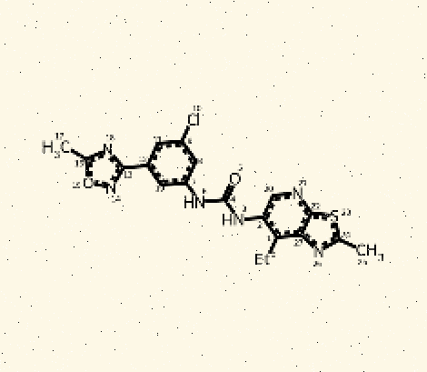 CCc1c(NC(=O)Nc2cc(Cl)cc(-c3noc(C)n3)c2)cnc2sc(C)nc12